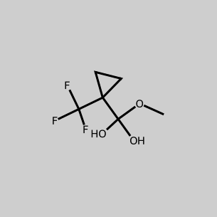 COC(O)(O)C1(C(F)(F)F)CC1